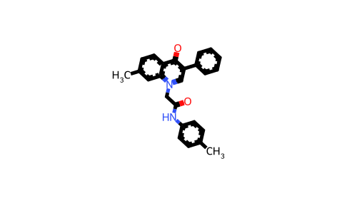 Cc1ccc(NC(=O)Cn2cc(-c3ccccc3)c(=O)c3ccc(C)cc32)cc1